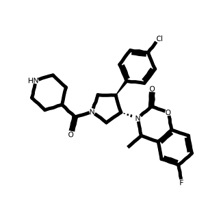 CC1c2cc(F)ccc2OC(=O)N1[C@@H]1CN(C(=O)C2CCNCC2)C[C@H]1c1ccc(Cl)cc1